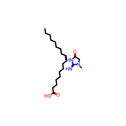 CCCCCCCC/C=C\CCCCCCCC(=O)O.CN1CC(=O)NC1=N